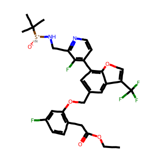 CCOC(=O)Cc1ccc(F)cc1OCc1cc(-c2ccnc(CN[S@+]([O-])C(C)(C)C)c2F)c2occ(C(F)(F)F)c2c1